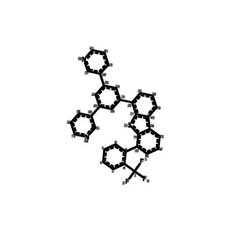 FC(F)(F)c1ccccc1-c1cccc2c1sc1c(-c3cc(-c4cccnc4)cc(-c4cccnc4)c3)cccc12